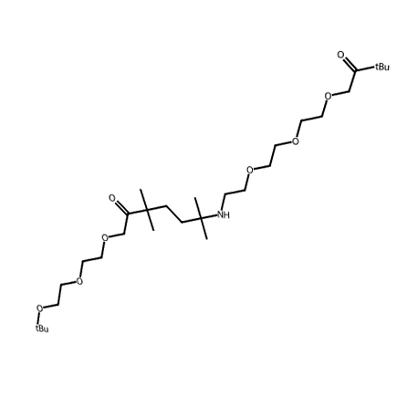 CC(C)(CCC(C)(C)C(=O)COCCOCCOC(C)(C)C)NCCOCCOCCOCC(=O)C(C)(C)C